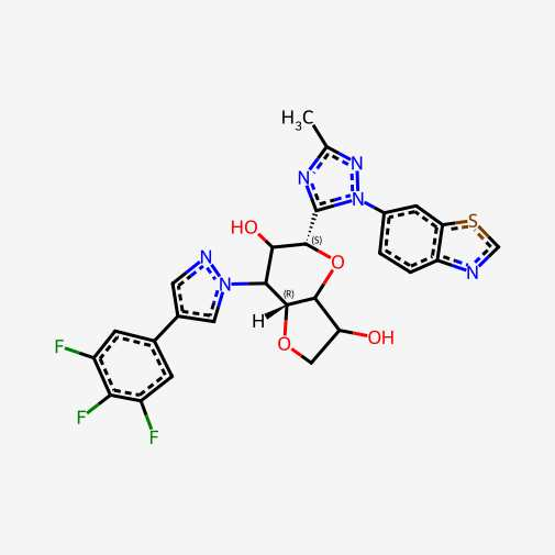 Cc1nc([C@@H]2OC3C(O)CO[C@@H]3C(n3cc(-c4cc(F)c(F)c(F)c4)cn3)C2O)n(-c2ccc3ncsc3c2)n1